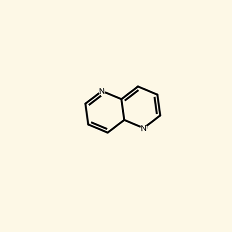 C1=C[N]C2C=CC=NC2=C1